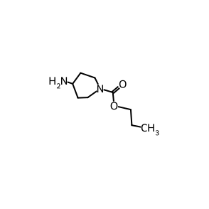 CCCOC(=O)N1CCC(N)CC1